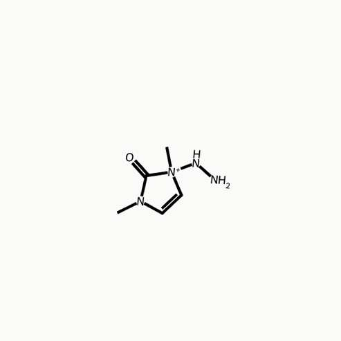 CN1C=C[N+](C)(NN)C1=O